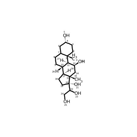 C[C@]12CC[C@@H](O)CC1CC[C@@H]1[C@@H]2[C@@H](O)C[C@@]2(C)[C@H]1CC[C@]2(O)C(O)CO